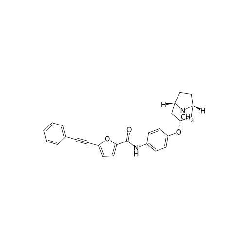 CN1[C@@H]2CC[C@H]1C[C@@H](Oc1ccc(NC(=O)c3ccc(C#Cc4ccccc4)o3)cc1)C2